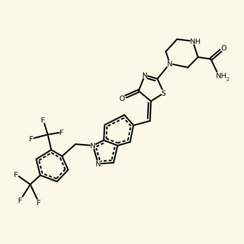 NC(=O)C1CN(C2=NC(=O)/C(=C\c3ccc4c(cnn4Cc4ccc(C(F)(F)F)cc4C(F)(F)F)c3)S2)CCN1